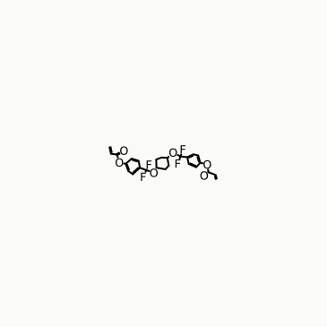 C=CC(=O)Oc1ccc(C(F)(F)OC2CCC(OC(F)(F)c3ccc(OC(=O)C=C)cc3)CC2)cc1